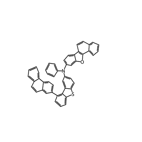 c1ccc(N(c2ccc3c(c2)oc2c4ccccc4ccc32)c2ccc3sc4cccc(-c5ccc6c(ccc7ccccc76)c5)c4c3c2)cc1